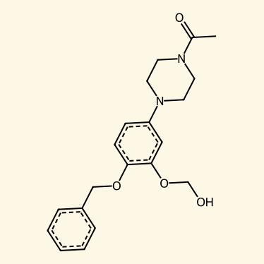 CC(=O)N1CCN(c2ccc(OCc3ccccc3)c(OCO)c2)CC1